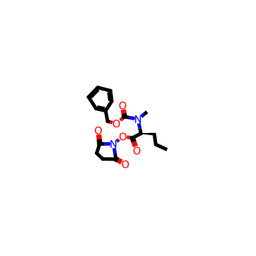 CCC[C@@H](C(=O)ON1C(=O)CCC1=O)N(C)C(=O)OCc1ccccc1